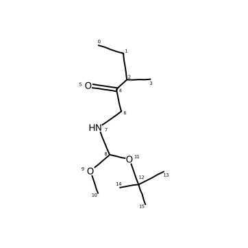 CCC(C)C(=O)CNC(OC)OC(C)(C)C